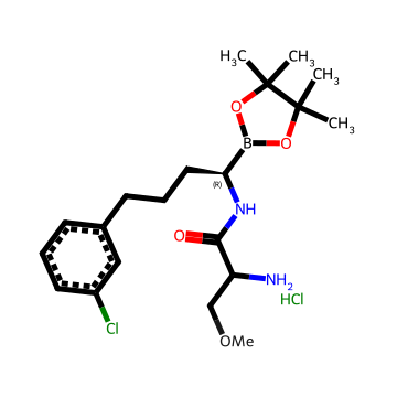 COCC(N)C(=O)N[C@@H](CCCc1cccc(Cl)c1)B1OC(C)(C)C(C)(C)O1.Cl